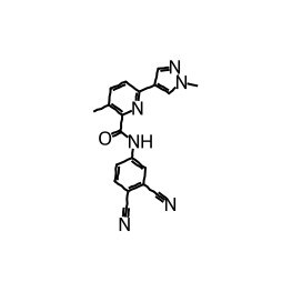 Cc1ccc(-c2cnn(C)c2)nc1C(=O)Nc1ccc(C#N)c(C#N)c1